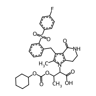 Cc1c(Cc2ccccc2S(=O)(=O)c2ccc(F)cc2)c2c(n1C(C(=O)O)C(C)OC(=O)OC1CCCCC1)CCNC2=O